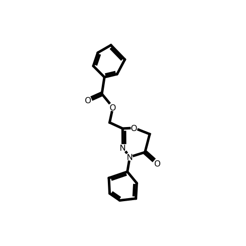 O=C(OCC1=NN(c2ccccc2)C(=O)CO1)c1ccccc1